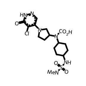 CNS(=O)(=O)NC1CCC(N(C(=O)O)C2CCN(c3cn[nH]c(=O)c3Cl)C2)CC1